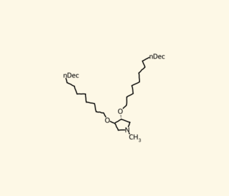 CCCCCCCCCCCCCCCCCCOC1CN(C)C[C@H]1OCCCCCCCCCCCCCCCCCC